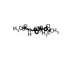 CCOC(=O)CCNCCc1c[nH]c2c1C=CCC2c1noc(-c2ccc(OC(C)C)c(Cl)c2)n1